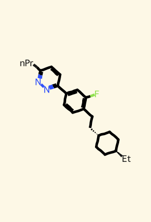 CCCc1ccc(-c2ccc(CC[C@H]3CC[C@H](CC)CC3)c(F)c2)nn1